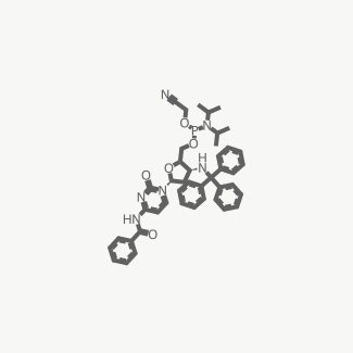 CC(C)N(C(C)C)P(OCC#N)OCC1O[C@@H](n2ccc(NC(=O)c3ccccc3)nc2=O)C[C@H]1NC(c1ccccc1)(c1ccccc1)c1ccccc1